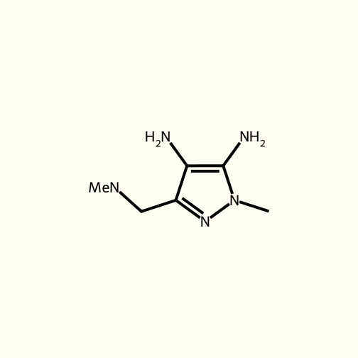 CNCc1nn(C)c(N)c1N